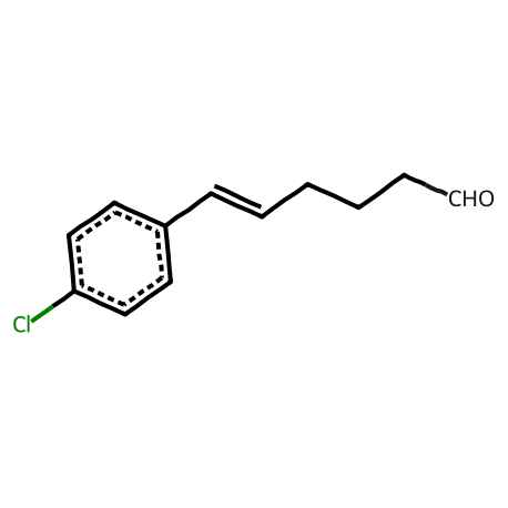 O=CCCCC=Cc1ccc(Cl)cc1